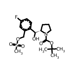 CC(C)(C)OC(=O)N1CCC[C@H]1C(O)c1ccc(F)cc1COS(C)(=O)=O